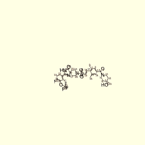 Cc1cc(C(=O)N2CCC(C)(O)CC2)cc(C)c1/C=C/S(=O)(=O)N1CCC2(CC1)N=C(c1ccc(F)c(OC(F)(F)F)c1)NC2=O